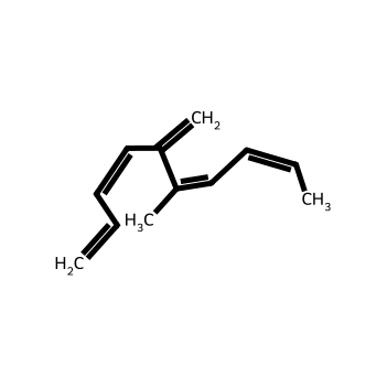 C=C/C=C\C(=C)/C(C)=C\C=C/C